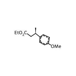 CCOC(=O)C[C@@H](C)c1ccc(OC)cc1